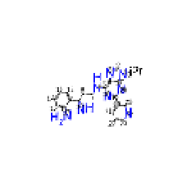 CC(C)n1cnc2c(NCCC(=N)c3ccccc3N)nc(-c3cccnc3)nc21